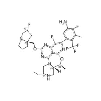 CC[C@@H]1CN2c3nc(OC[C@@]45CCCN4C[C@H](F)C5)nc4c(F)c(-c5cc(N)c(F)c(C)c5C(F)(F)F)nc(c34)O[C@@H](C)[C@@H]2CN1